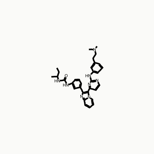 CCC(C)NC(=O)Nc1cccc(-c2nc3ccccn3c2-c2ccnc(Nc3cccc(CCN(C)C)c3)n2)c1